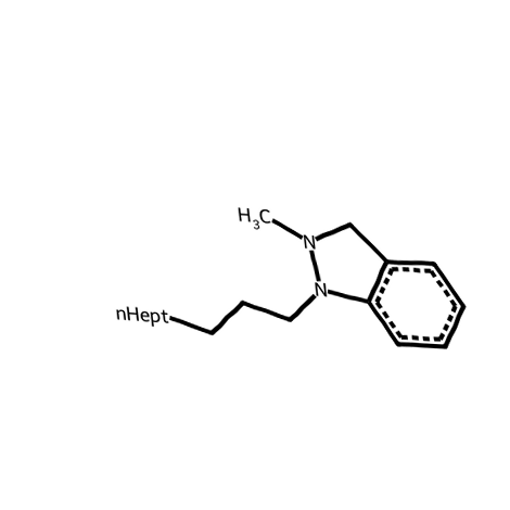 CCCCCCCCCCN1c2ccccc2CN1C